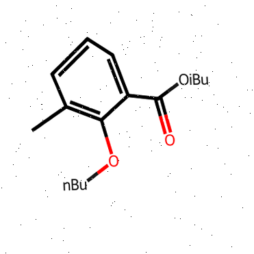 CCCCOc1c(C)cccc1C(=O)OCC(C)C